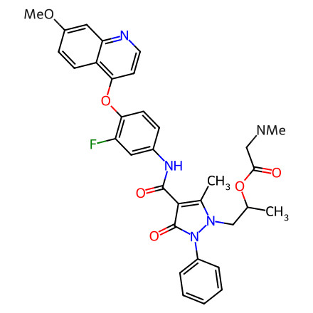 CNCC(=O)OC(C)Cn1c(C)c(C(=O)Nc2ccc(Oc3ccnc4cc(OC)ccc34)c(F)c2)c(=O)n1-c1ccccc1